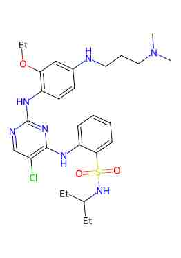 CCOc1cc(NCCCN(C)C)ccc1Nc1ncc(Cl)c(Nc2ccccc2S(=O)(=O)NC(CC)CC)n1